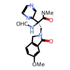 CNC(=O)[C@@](CN1Cc2ccc(OC)cc2C1=O)(NC=O)c1cnccn1